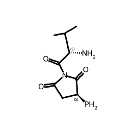 CC(C)[C@H](N)C(=O)N1C(=O)C[C@H](P)C1=O